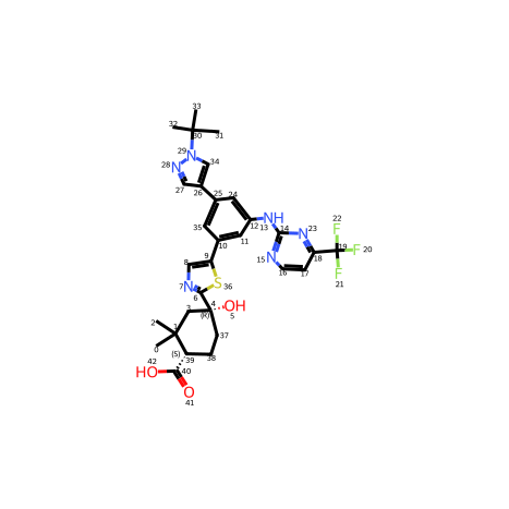 CC1(C)C[C@@](O)(c2ncc(-c3cc(Nc4nccc(C(F)(F)F)n4)cc(-c4cnn(C(C)(C)C)c4)c3)s2)CC[C@@H]1C(=O)O